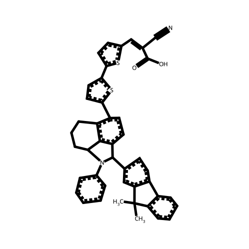 CC1(C)c2ccccc2-c2ccc(C3c4ccc(-c5ccc(-c6ccc(C=C(C#N)C(=O)O)s6)s5)c5c4C(CCC5)N3c3ccccc3)cc21